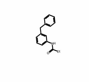 CCC(=O)Nc1cccc(Cc2ccccc2)c1